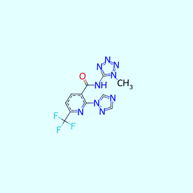 Cn1nnnc1NC(=O)c1ccc(C(F)(F)F)nc1-n1cncn1